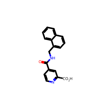 O=C(NCc1cccc2ccccc12)c1ccnc(C(=O)O)c1